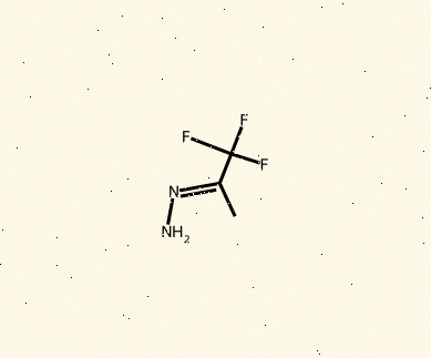 C/C(=N\N)C(F)(F)F